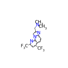 CN(C)Cc1cn2c(ccc3c(C(F)(F)F)cc(C(F)(F)F)nc32)n1